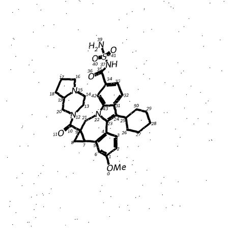 COc1ccc2c(c1)C1CC1(C(=O)N1CCN3CCCC3C1)Cn1c-2c(C2CCCCC2)c2ccc(C(=O)NS(N)(=O)=O)cc21